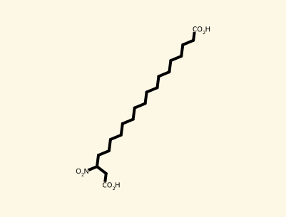 O=C(O)CCCCCCCCCCCCCCCCC(CC(=O)O)[N+](=O)[O-]